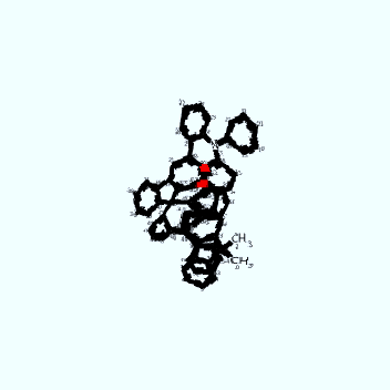 CC1(C)c2ccccc2-c2ccc(-c3ccc(N(c4ccccc4)c4ccccc4-c4ccc5c(c4)-c4ccccc4C54c5ccccc5N(c5ccccc5)c5ccccc54)cc3)cc21